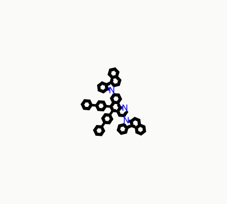 c1ccc(-c2ccc(-c3c(-c4ccc(-c5ccccc5)cc4)c4cc(-n5c6ccccc6c6c7ccccc7ccc65)cnc4c4ccc(-n5c6ccccc6c6c7ccccc7ccc65)cc34)cc2)cc1